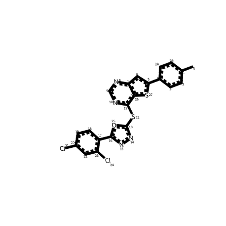 Cc1ccc(-c2cc3ncnc(Sc4nnc(-c5ccc(Cl)cc5Cl)o4)c3s2)cc1